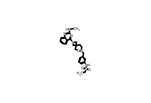 CCS(=O)(=O)Nc1cccc(CN2CCC3(CC2)CN(c2nc(NC)nc4ccccc24)C3)c1